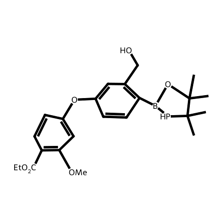 CCOC(=O)c1ccc(Oc2ccc(B3OC(C)(C)C(C)(C)P3)c(CO)c2)cc1OC